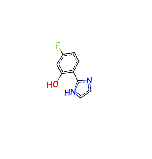 Oc1cc(F)ccc1-c1ncc[nH]1